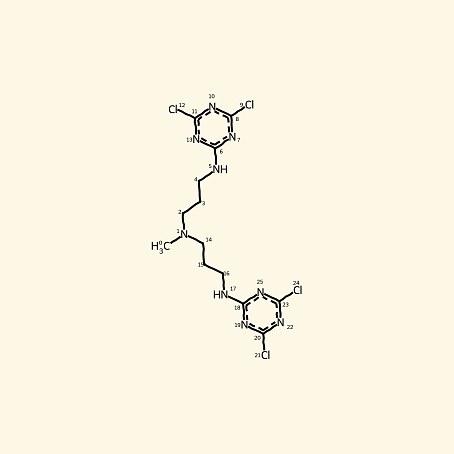 CN(CCCNc1nc(Cl)nc(Cl)n1)CCCNc1nc(Cl)nc(Cl)n1